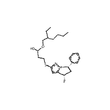 CCCCC(CC)COC(O)CCSc1cc2n(n1)[C@H](c1ccccc1)C[C@@H]2F